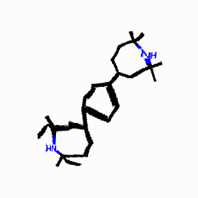 CC1(C)CCC(c2ccc(C3CCC(C)(C)NC(C)(C)C3)cc2)CC(C)(C)N1